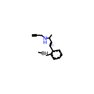 C#CCNC(C)/C=C/c1ccccc1CBC